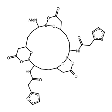 CNC1CCC2CC(=O)OB(O2)C(NC(=O)Cc2cccs2)CCC2CC(=O)OB(O2)C(NC(=O)Cc2cccs2)CCC2CC(=O)OB1O2